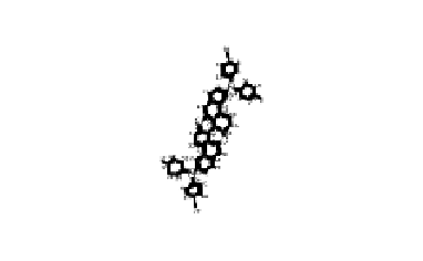 Cc1ccc(N(c2ccc(C)cc2)c2ccc3cc4oc5ccc6c7cc(N(c8ccc(C)cc8)c8ccc(C)cc8)ccc7cc7oc8ccc(c3c2)c4c8-c5c76)cc1